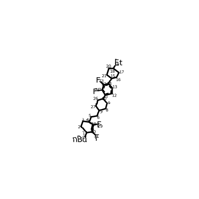 CCCCC1CCC(CCC2CCC(c3ccc(C4CCC(CC)CC4)c(F)c3F)CC2)C(F)=C1F